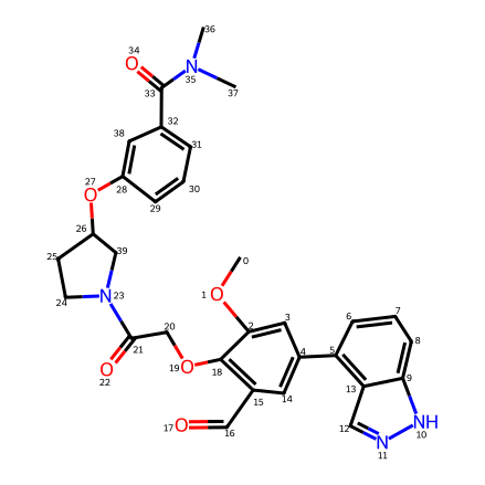 COc1cc(-c2cccc3[nH]ncc23)cc(C=O)c1OCC(=O)N1CCC(Oc2cccc(C(=O)N(C)C)c2)C1